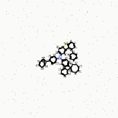 c1ccc(-c2cccc3sc4ccc(N(c5ccc(C6CC7CCC6C7)cc5)c5ccc(C6(c7ccccc7)CCCCCC6)cc5)cc4c23)cc1